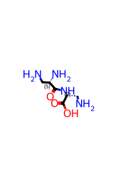 NC[C@H](N)C(=O)N[C@H](CN)C(=O)O